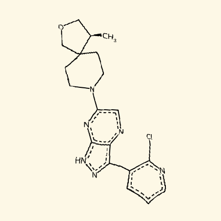 C[C@@H]1COCC12CCN(c1cnc3c(-c4cccnc4Cl)n[nH]c3n1)CC2